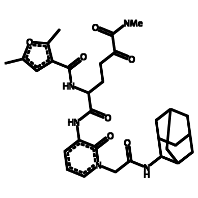 CNC(=O)C(=O)CCC(NC(=O)c1cc(C)oc1C)C(=O)Nc1cccn(CC(=O)NC2C3CC4CC(C3)CC2C4)c1=O